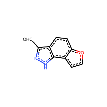 O=Cc1n[nH]c2c1ccc1occc12